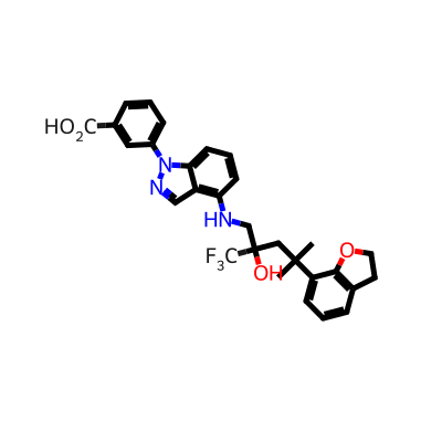 CC(C)(CC(O)(CNc1cccc2c1cnn2-c1cccc(C(=O)O)c1)C(F)(F)F)c1cccc2c1OCC2